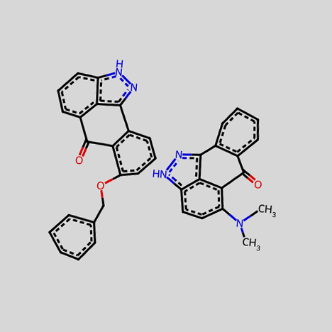 CN(C)c1ccc2[nH]nc3c2c1C(=O)c1ccccc1-3.O=C1c2c(OCc3ccccc3)cccc2-c2n[nH]c3cccc1c23